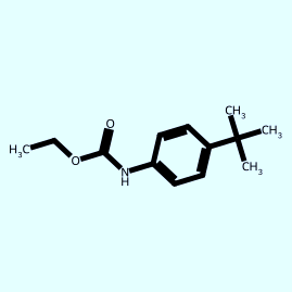 CCOC(=O)Nc1ccc(C(C)(C)C)cc1